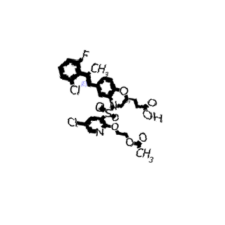 CC(=O)OCCOc1ncc(Cl)cc1S(=O)(=O)N1C[C@H](CCC(=O)O)Oc2ccc(/C=C(\C)c3c(F)cccc3Cl)cc21